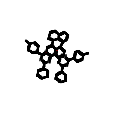 Cc1ccc(-c2nc(-c3ccccc3)nc(-c3cccc(-c4cccc5cccc(-c6cccc(-c7nc(-c8ccccc8)nc(-c8ccc(C)cc8)n7)c6)c45)c3)n2)cc1